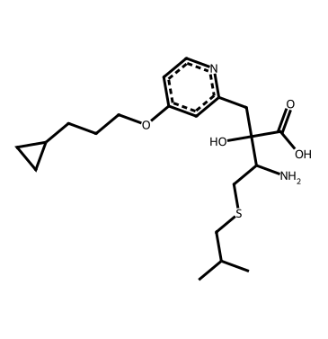 CC(C)CSCC(N)C(O)(Cc1cc(OCCCC2CC2)ccn1)C(=O)O